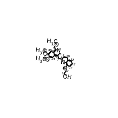 COCc1ncc(Cc2ccc3cccc(OCCO)c3n2)c2cc(OC)c(OC)cc12